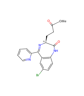 COC(=O)CC[C@@H]1N=C(c2ccccn2)c2cc(Br)ccc2NC1=O